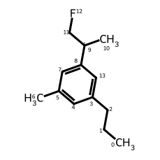 CCCc1cc(C)cc([C](C)CF)c1